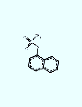 O=S(=O)(Sc1cccc2ccccc12)C(F)(F)F